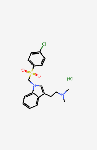 CN(C)CCc1cn(CS(=O)(=O)c2ccc(Cl)cc2)c2ccccc12.Cl